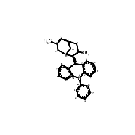 CC1CC2CC(C)C(=C3c4ccccc4N(c4ccccc4)c4ccccc43)C(C1)C2